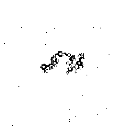 Cc1ncsc1-c1ccc([C@H](C)NC(=O)[C@@H]2C[C@@H](O)CN2C(=O)Cc2cc(OCCN3CCC(CN4CCN5c6cc(-c7ccccc7O)nnc6NC[C@H]5C4)CC3)no2)c(F)c1